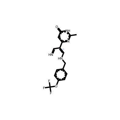 Cc1nc(/C(C=N)=C/NCc2ccc(OC(F)(F)F)cc2)cc(=O)[nH]1